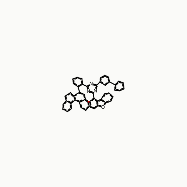 c1ccc(-c2cccc(-c3nc(-c4ccccc4-c4cc5ccccc5c5c4ccc4ccccc45)nc(-c4cccc5oc6ccccc6c45)n3)c2)cc1